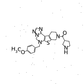 COc1ccc(CN2Cn3ncnc3-c3c2sc2c3CCN(C(=O)C3CCNC3)C2)cc1